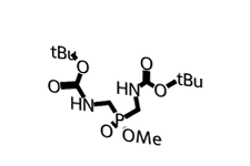 COP(=O)(CNC(=O)OC(C)(C)C)CNC(=O)OC(C)(C)C